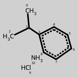 CC(C)c1ccccc1.Cl.N